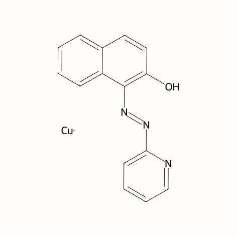 Oc1ccc2ccccc2c1N=Nc1ccccn1.[Cu]